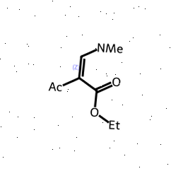 CCOC(=O)/C(=C\NC)C(C)=O